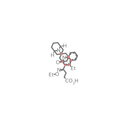 CCO/N=C(\CCC(=O)O)c1nc2ccccc2n([C@H]2C[C@H]3CCC[C@@H](C2)N3C2CC3CC(CC)CC(C3)C2)c1=O